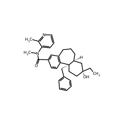 CC[C@@]1(O)CC[C@@]2(Cc3ccccc3)c3ccc(C(=O)N(C)c4cccnc4C)cc3CCC[C@H]2C1